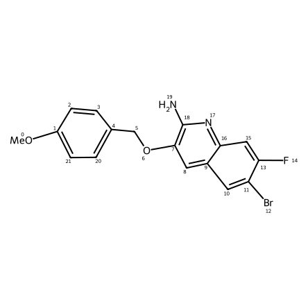 COc1ccc(COc2cc3cc(Br)c(F)cc3nc2N)cc1